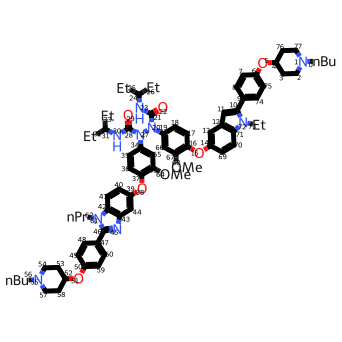 CCCCN1CCC(Oc2ccc(-c3cc4cc(Oc5ccc(N(C(=O)NC(CC)CC)N(C(=O)NC(CC)CC)c6ccc(Oc7ccc8c(c7)nc(-c7ccc(OC9CCN(CCCC)CC9)cc7)n8CCC)c(OC)c6)cc5OC)ccc4n3CC)cc2)CC1